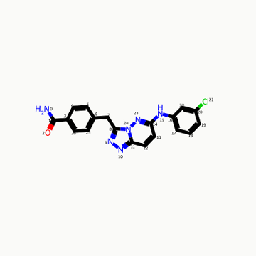 NC(=O)c1ccc(Cc2nnc3ccc(Nc4cccc(Cl)c4)nn23)cc1